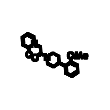 COc1ccccc1C1CCN(C(=O)Cn2ccccc2=O)CC1